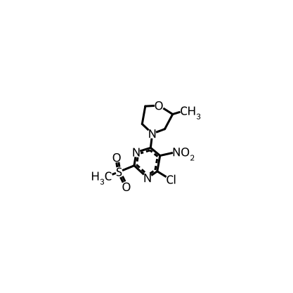 CC1CN(c2nc(S(C)(=O)=O)nc(Cl)c2[N+](=O)[O-])CCO1